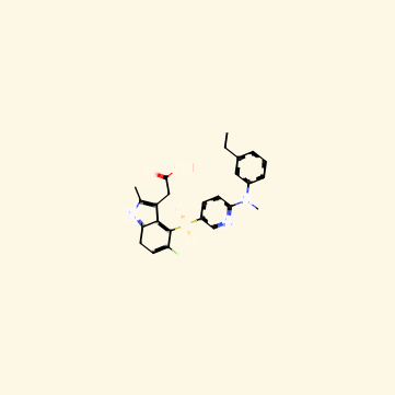 CCc1cccc(N(C)c2ccc(S(=O)(=O)C3=C4C(=NC(C)=C4CC(=O)O)CC=C3F)cn2)c1